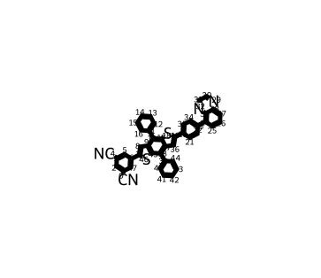 N#Cc1cc(C#N)cc(-c2cc3c(-c4ccccc4)c4sc(-c5ccc(-c6cccc7nccnc67)cc5)cc4c(-c4ccccc4)c3s2)c1